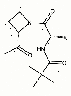 CC(=O)[C@@H]1CCN1C(=O)[C@H](C)NC(=O)C(C)(C)C